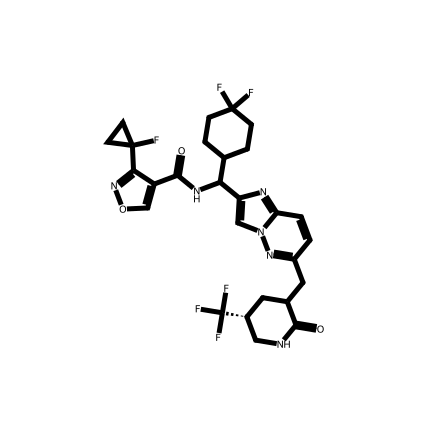 O=C(NC(c1cn2nc(CC3C[C@@H](C(F)(F)F)CNC3=O)ccc2n1)C1CCC(F)(F)CC1)c1conc1C1(F)CC1